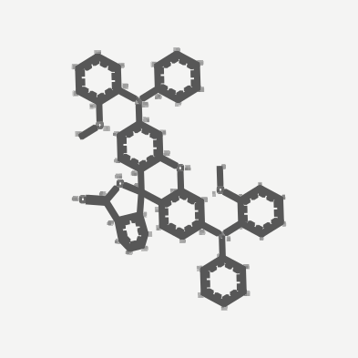 COc1ccccc1N(c1ccccc1)c1ccc2c(c1)Oc1cc(N(c3ccccc3)c3ccccc3OC)ccc1C21OC(=O)c2ccccc21